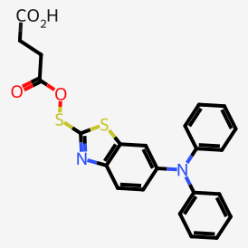 O=C(O)CCC(=O)OSc1nc2ccc(N(c3ccccc3)c3ccccc3)cc2s1